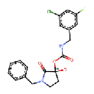 O=C(NCc1cc(F)cc(Cl)c1)O[C@]1(O)CCN(Cc2ccccc2)C1=O